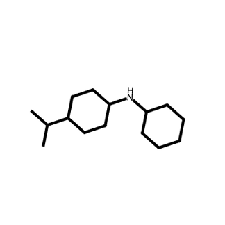 CC(C)C1CCC(NC2CCCCC2)CC1